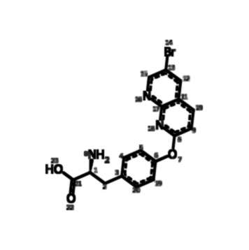 N[C@@H](Cc1ccc(Oc2ccc3cc(Br)cnc3n2)cc1)C(=O)O